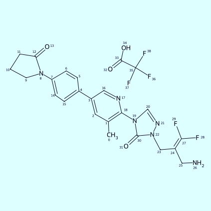 Cc1cc(-c2ccc(N3CCCC3=O)cc2)cnc1-n1cnn(CC(CN)=C(F)F)c1=O.O=C(O)C(F)(F)F